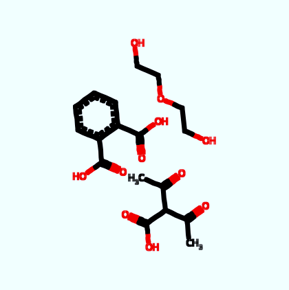 CC(=O)C(C(C)=O)C(=O)O.O=C(O)c1ccccc1C(=O)O.OCCOCCO